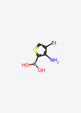 CCc1csc(B(O)O)c1N